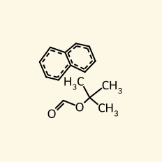 CC(C)(C)OC=O.c1ccc2ccccc2c1